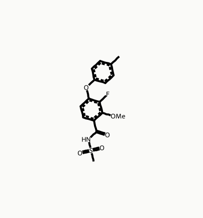 COc1c(C(=O)NS(C)(=O)=O)ccc(Oc2ccc(C)cc2)c1F